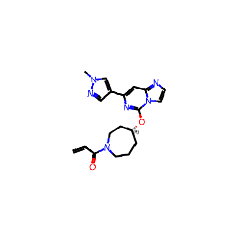 C=CC(=O)N1CCC[C@@H](Oc2nc(-c3cnn(C)c3)cc3nccn23)CC1